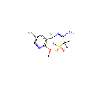 COc1ncc(Br)cc1[C@]1(C)CS(=O)(=O)C(C)(C)C(N)=N1